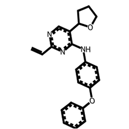 C=Cc1ncc(C2CCCO2)c(Nc2ccc(Oc3ccccc3)cc2)n1